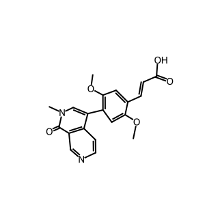 COc1cc(-c2cn(C)c(=O)c3cnccc23)c(OC)cc1/C=C/C(=O)O